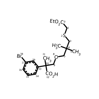 CCOC(=O)CSCC(C)(C)COCC(C)(C(=O)O)c1cccc(Br)c1